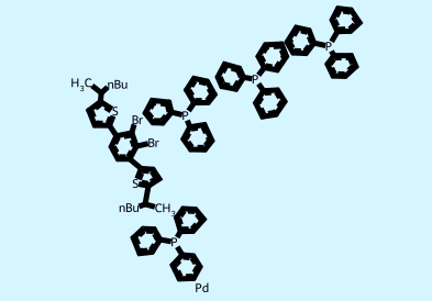 CCCCC(C)c1ccc(-c2ccc(-c3ccc(C(C)CCCC)s3)c(Br)c2Br)s1.[Pd].c1ccc(P(c2ccccc2)c2ccccc2)cc1.c1ccc(P(c2ccccc2)c2ccccc2)cc1.c1ccc(P(c2ccccc2)c2ccccc2)cc1.c1ccc(P(c2ccccc2)c2ccccc2)cc1